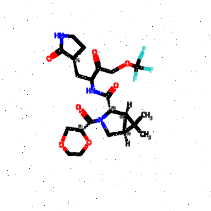 CC1(C)[C@@H]2[C@@H](C(=O)NC(C[C@@H]3CCNC3=O)C(=O)COC(F)(F)F)N(C(=O)[C@H]3COCCO3)C[C@@H]21